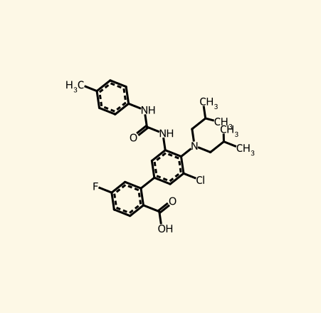 Cc1ccc(NC(=O)Nc2cc(-c3cc(F)ccc3C(=O)O)cc(Cl)c2N(CC(C)C)CC(C)C)cc1